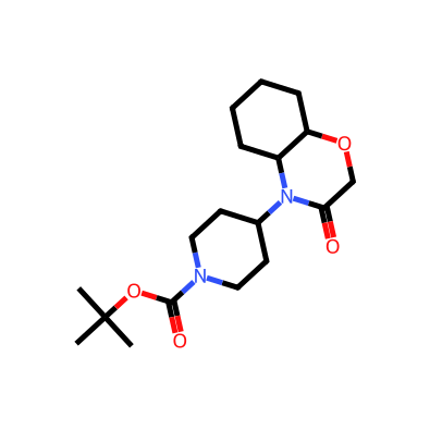 CC(C)(C)OC(=O)N1CCC(N2C(=O)COC3CCCCC32)CC1